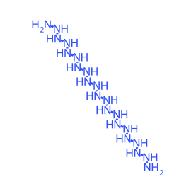 NNNNNNNNNNNNNNNNNNNNN